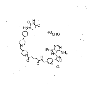 CC(C)n1nc(-c2noc(C3CC3)c2-c2ccc(CNC(=O)CCCC(=O)N3CCC(CN4CCC(c5ccc(N[C@H]6CCC(=O)NC6=O)cc5)CC4)CC3)cn2)c2c(N)ncnc21.O=CO